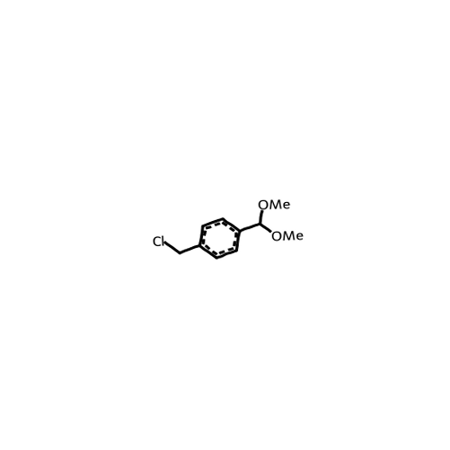 COC(OC)c1ccc(CCl)cc1